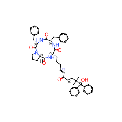 C[C@@H](CC(C)(C)[Si](O)(c1ccccc1)c1ccccc1)C(=O)/C=C/CCC[C@@H]1NC(=O)[C@H]2CCCN2C(=O)[C@H](Cc2ccccc2)NC(=O)[C@@H](Cc2ccccc2)NC1=O